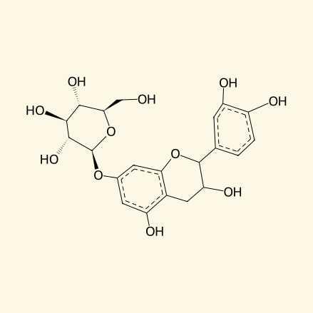 OC[C@H]1O[C@@H](Oc2cc(O)c3c(c2)OC(c2ccc(O)c(O)c2)C(O)C3)[C@H](O)[C@@H](O)[C@@H]1O